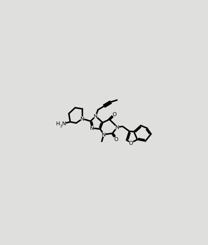 CC#CCn1c(N2CCCC(N)C2)nc2c1c(=O)n(Cc1coc3ccccc13)c(=O)n2C